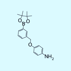 CC1(C)OB(c2cccc(COc3ccc(N)cc3)c2)OC1(C)C